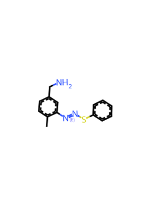 Cc1ccc(CN)cc1/N=N/Sc1ccccc1